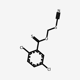 N#CSCOC(=S)c1cc(Cl)ccc1Cl